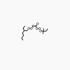 CCCCC(CC)COOOC(=O)OOOC(C)(C)CC